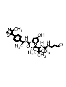 Cc1ncsc1-c1ccc(C(C)NC(=O)[C@@H]2C[C@@H](O)CN2C(=O)C(NC(=O)NCCC=O)C(C)(C)C)cc1